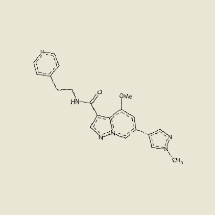 COc1cc(-c2cnn(C)c2)cn2ncc(C(=O)NCCc3ccncc3)c12